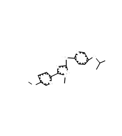 COc1ccc(-c2nc(Nc3ccc(OC(C)C)cn3)nn2C)nc1